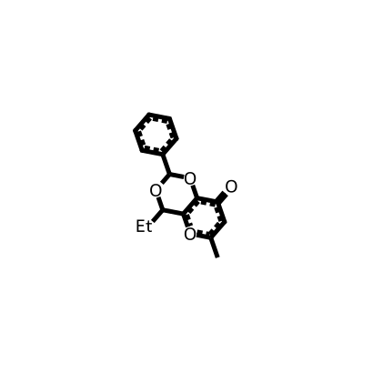 CCC1OC(c2ccccc2)Oc2c1oc(C)cc2=O